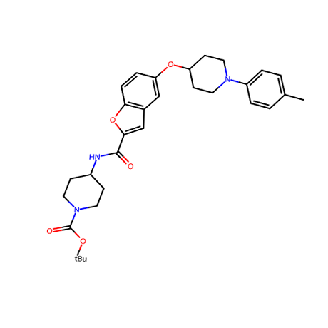 Cc1ccc(N2CCC(Oc3ccc4oc(C(=O)NC5CCN(C(=O)OC(C)(C)C)CC5)cc4c3)CC2)cc1